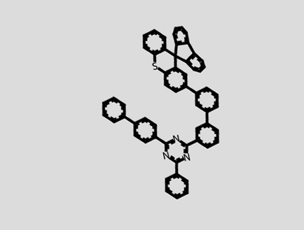 c1ccc(-c2ccc(-c3nc(-c4ccccc4)nc(-c4cccc(-c5cccc(-c6ccc7c(c6)C6(c8ccccc8S7)c7ccccc7-c7ccccc76)c5)c4)n3)cc2)cc1